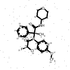 C[C@](C(=O)NC1CCOCC1)(c1cncnc1)N(C(=O)[C@H](F)Cl)c1ccc(OC(F)(F)F)nc1